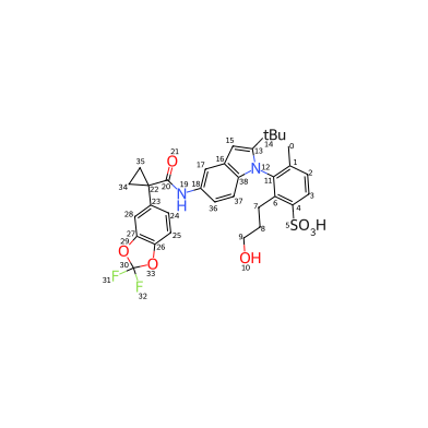 Cc1ccc(S(=O)(=O)O)c(CCCO)c1-n1c(C(C)(C)C)cc2cc(NC(=O)C3(c4ccc5c(c4)OC(F)(F)O5)CC3)ccc21